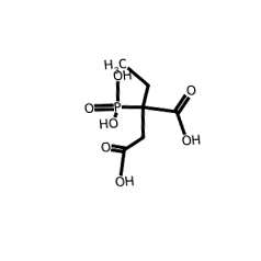 CCC(CC(=O)O)(C(=O)O)P(=O)(O)O